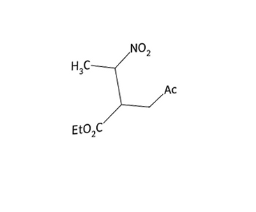 CCOC(=O)C(CC(C)=O)C(C)[N+](=O)[O-]